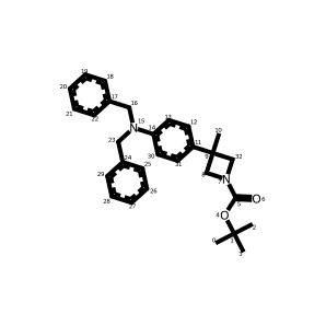 CC(C)(C)OC(=O)N1CC(C)(c2ccc(N(Cc3ccccc3)Cc3ccccc3)cc2)C1